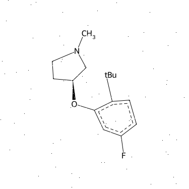 CN1CC[C@H](Oc2cc(F)ccc2C(C)(C)C)C1